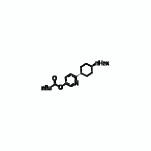 CCCCCC[C@H]1CC[C@H](c2ccc(OC(=O)CCCC)cn2)CC1